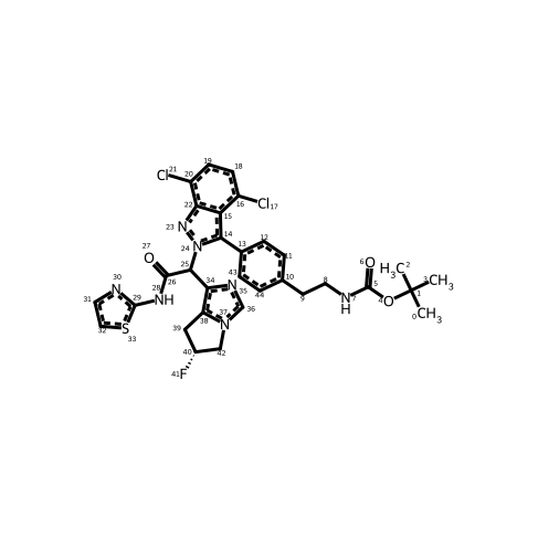 CC(C)(C)OC(=O)NCCc1ccc(-c2c3c(Cl)ccc(Cl)c3nn2C(C(=O)Nc2nccs2)c2ncn3c2C[C@@H](F)C3)cc1